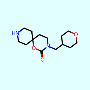 O=C1OC2(CCNCC2)CCN1CC1CCOCC1